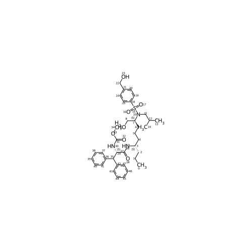 CCC[C@@H](CCC[C@@H](CO)N(CC(C)C)S(=O)(=O)c1ccc(CO)cc1)NC(=O)[C@@H](NC(=O)OC)C(c1ccccc1)c1ccccc1